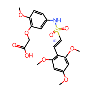 COc1cc(OC)c(/C=C/S(=O)(=O)Nc2ccc(OC)c(OCC(=O)O)c2)c(OC)c1